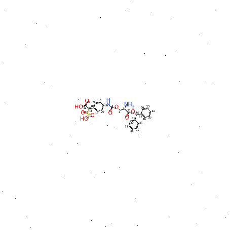 NC(COC(=O)Nc1ccc([C@H](C(=O)O)S(=O)(=O)O)cc1)C(=O)OC(c1ccccc1)c1ccccc1